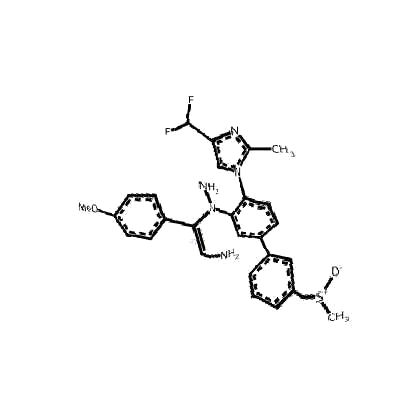 COc1ccc(/C(=C/N)N(N)c2cc(-c3cccc([S+](C)[O-])c3)ccc2-n2cc(C(F)F)nc2C)cc1